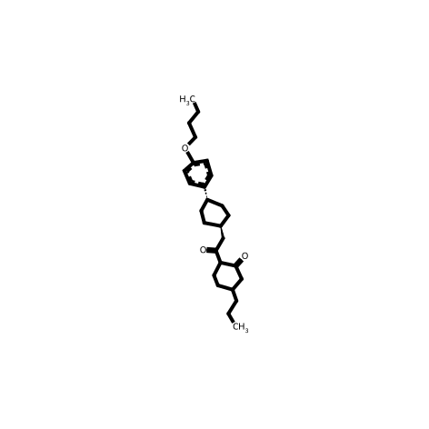 CCCCOc1ccc([C@H]2CC[C@H](CC(=O)C3CCC(CCC)CC3=O)CC2)cc1